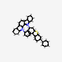 C1=Cc2c(n(-c3ccccc3)c3c2ccc2c4ccccc4n(-c4ccc5c(c4)sc4cc(-c6ccccc6)ccc45)c23)CC1